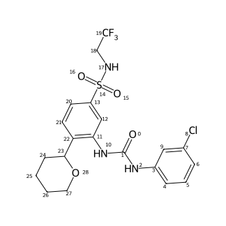 O=C(Nc1cccc(Cl)c1)Nc1cc(S(=O)(=O)NCC(F)(F)F)ccc1C1CCCCO1